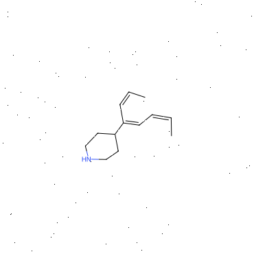 C\C=C/C=C(\C=C/C)C1CCNCC1